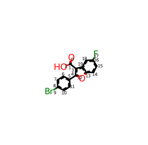 O=C(O)c1c(-c2ccc(Br)cc2)oc2ccc(F)cc12